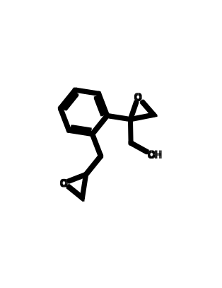 OCC1(c2ccccc2CC2CO2)CO1